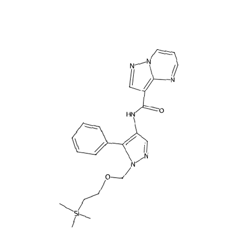 C[Si](C)(C)CCOCn1ncc(NC(=O)c2cnn3cccnc23)c1-c1ccccc1